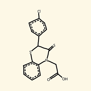 O=C(O)CN1C(=S)C(c2ccc(Cl)cc2)Sc2ccccc21